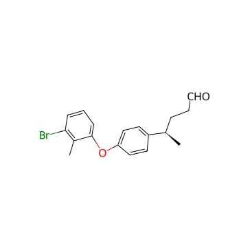 Cc1c(Br)cccc1Oc1ccc([C@H](C)CCC=O)cc1